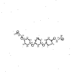 c1cc(Oc2cncc(Oc3ccc(OCC4CO4)cc3)c2)ccc1OCC1CO1